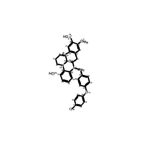 COc1cc(CC(=O)N(Nc2ccc(Oc3ccc(Cl)cc3)cc2)c2ccccc2N2CCCCC2)c(Br)cc1C(=O)O.Cl